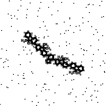 CC1(C)c2ccccc2-c2ccc(-c3ccc4c(c3)C(C)(C)c3cc(-c5ccc(-c6ccc7c(c6)C(C)(C)c6cc(-c8ccc9c(c8)C(C)(C)c8ccccc8-9)ccc6-7)c6nsnc56)ccc3-4)cc21